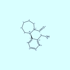 O=CN1CCCCC[C@@H]1c1cccnc1CO